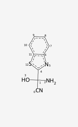 N#CC(N)(O)c1nc2ccccc2s1